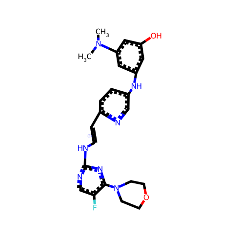 CN(C)c1cc(O)cc(Nc2ccc(/C=C/Nc3ncc(F)c(N4CCOCC4)n3)nc2)c1